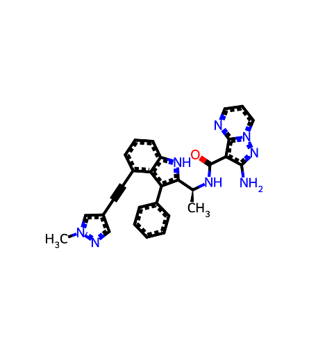 C[C@H](NC(=O)c1c(N)nn2cccnc12)c1[nH]c2cccc(C#Cc3cnn(C)c3)c2c1-c1ccccc1